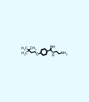 CC(C)(C)CCOc1ccc(C(=N)NCCN)cc1